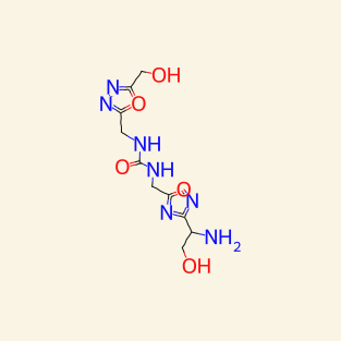 NC(CO)c1noc(CNC(=O)NCc2nnc(CO)o2)n1